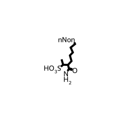 CCCCCCCCCCCCCCC(C(N)=O)C(C)S(=O)(=O)O